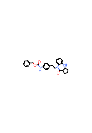 O=C(Nc1ccc(CCN2C(=O)C3CCCC3Nc3ccccc32)cc1)OCc1ccccc1